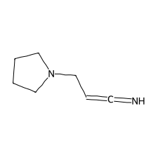 N=C=CCN1CCCC1